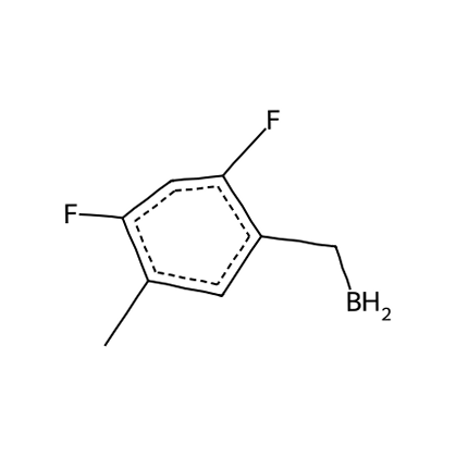 BCc1cc(C)c(F)cc1F